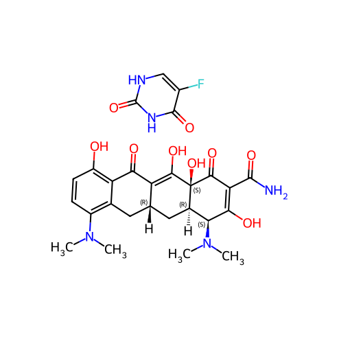 CN(C)c1ccc(O)c2c1C[C@H]1C[C@@H]3[C@H](N(C)C)C(O)=C(C(N)=O)C(=O)[C@@]3(O)C(O)=C1C2=O.O=c1[nH]cc(F)c(=O)[nH]1